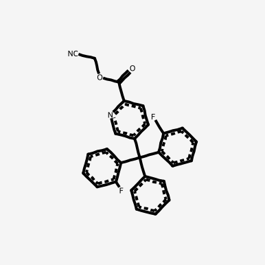 N#CCOC(=O)c1ccc(C(c2ccccc2)(c2ccccc2F)c2ccccc2F)cn1